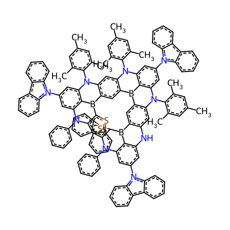 Cc1cc(C)c(N2c3cc4c(cc3B3c5cc6c(cc5N(c5c(C)cc(C)cc5C)c5cc(-n7c8ccccc8c8ccccc87)cc2c53)N(c2c(C)cc(C)cc2C)c2cc(-n3c5ccccc5c5ccccc53)cc3c2B6c2sc5ccccc5c2N3c2ccccc2)B2c3sc5ccccc5c3N(c3ccccc3)c3cc(-n5c6ccccc6c6ccccc65)cc(c32)N4)c(C)c1